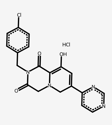 Cl.O=C1CN2CC(c3ccncn3)=CC(O)=C2C(=O)N1Cc1ccc(Cl)cc1